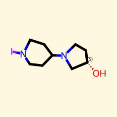 O[C@H]1CCN(C2CCN(I)CC2)C1